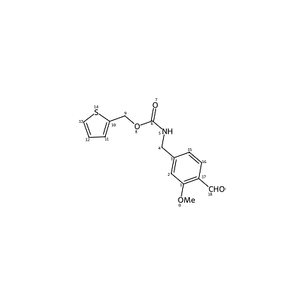 COc1cc(CNC(=O)OCc2cccs2)ccc1[C]=O